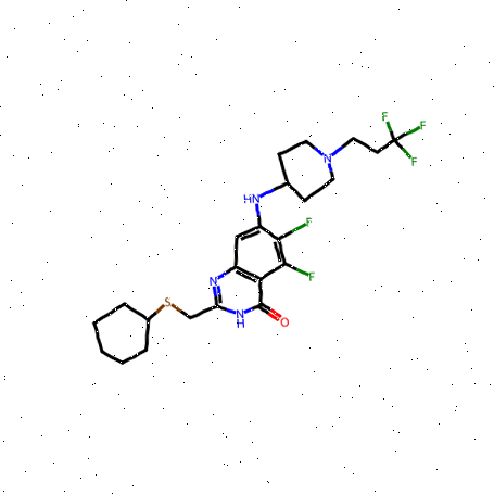 O=c1[nH]c(CSC2CCCCC2)nc2cc(NC3CCN(CCC(F)(F)F)CC3)c(F)c(F)c12